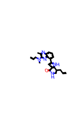 C=CCC1CNC(=O)c2cc(-c3cccc4nc(C)c(N(C)CC=C)nc34)[nH]c21